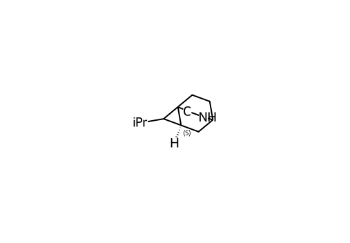 CC(C)C1[C@@H]2CC3CCC12CN3